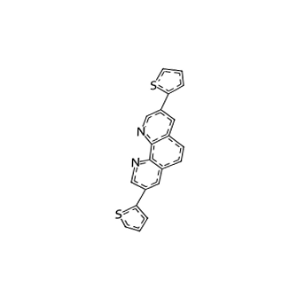 c1csc(-c2cnc3c(ccc4cc(-c5cccs5)cnc43)c2)c1